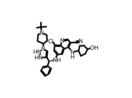 CC(C)(C)N1CCC(N2C=C([C@@H](Nc3cc(Cl)c4ncc(C#N)c(NC5CCC(O)CC5)c4c3)c3ccccc3)NN2)CC1